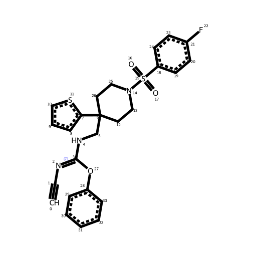 C#C/N=C(/NCC1(c2cccs2)CCN(S(=O)(=O)c2ccc(F)cc2)CC1)Oc1ccccc1